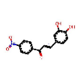 O=C(/C=C/c1ccc(O)c(O)c1)c1ccc([N+](=O)[O-])cc1